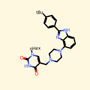 CCCCCCn1cc(CN2CCN(c3cccc4[nH]c(-c5ccc(C(C)(C)C)cc5)nc34)CC2)c(=O)[nH]c1=O